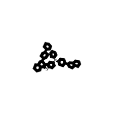 c1ccc(-c2ccc(-c3cc4ccccc4c4sc5ccc(N(c6ccccc6)c6ccc(-c7ccc8ccccc8c7)cc6)cc5c34)cc2)cc1